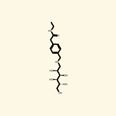 CCNC(=O)Cc1ccc(CNC[C@H](O)[C@@H](O)[C@H](O)[C@H](O)CO)cc1